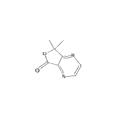 CC1(C)OC(=O)c2nccnc21